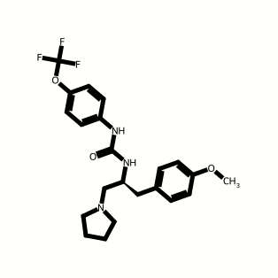 COc1ccc(C[C@@H](CN2CCCC2)NC(=O)Nc2ccc(OC(F)(F)F)cc2)cc1